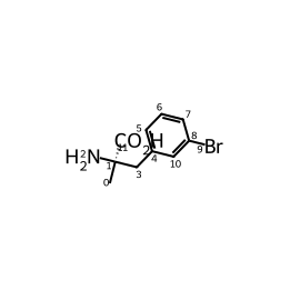 C[C@@](N)(Cc1cccc(Br)c1)C(=O)O